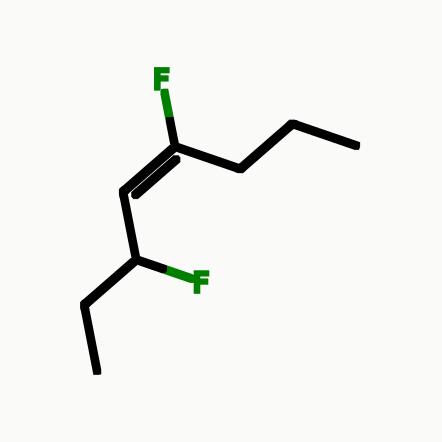 CCC/C(F)=C\C(F)CC